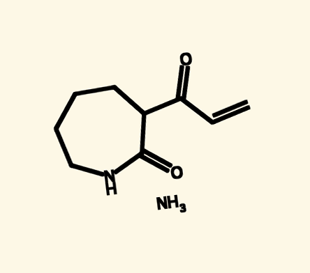 C=CC(=O)C1CCCCNC1=O.N